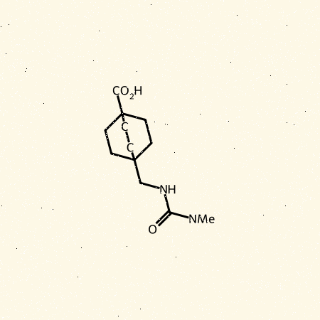 CNC(=O)NCC12CCC(C(=O)O)(CC1)CC2